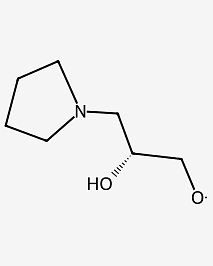 [O]C[C@H](O)CN1CCCC1